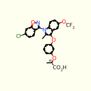 Cc1c(Oc2cccc(O[C@H](C)C(=O)O)c2)c2cc(OC(F)(F)F)ccc2n1-c1noc2cc(Cl)ccc12